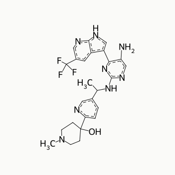 CC(Nc1ncc(N)c(-c2c[nH]c3ncc(C(F)(F)F)cc23)n1)c1ccc(C2(O)CCN(C)CC2)nc1